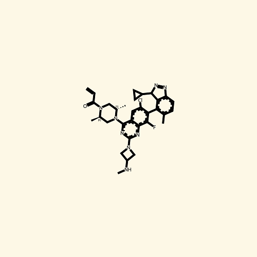 C=CC(=O)N1C[C@H](C)N(c2nc(N3CC(NC)C3)nc3c(F)c(-c4c(C)ccc5c4C(C4CC4)N=N5)c(Cl)cc23)C[C@H]1C